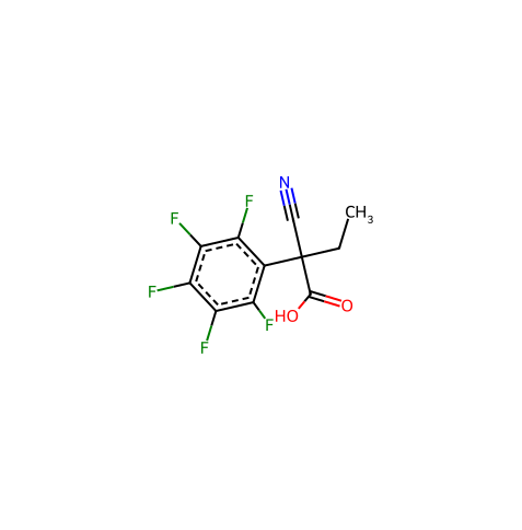 CCC(C#N)(C(=O)O)c1c(F)c(F)c(F)c(F)c1F